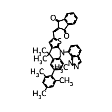 Cc1cc(C)c(-c2ccc3c(c2)C(C)(C)c2cc(C=C4C(=O)c5ccccc5C4=O)sc2N3c2cccc3cnn(C)c23)c(C)c1